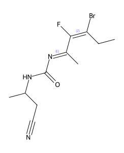 CC/C(Br)=C(F)\C(C)=N\C(=O)NC(C)CC#N